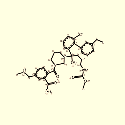 CCc1cccc(-c2c(Cl)cccc2C(O)(CCCNC(=O)OC)[C@@H]2CCCN(C(=O)c3ccc(CNC)cc3C(N)=O)C2)c1